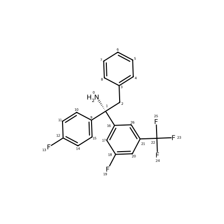 N[C@@](Cc1ccccc1)(c1ccc(F)cc1)c1cc(F)cc(C(F)(F)F)c1